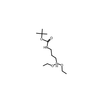 CCO[SiH](CCCNC(=O)OC(C)(C)C)OCC